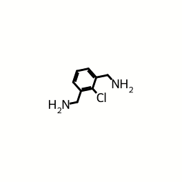 NCc1cccc(CN)c1Cl